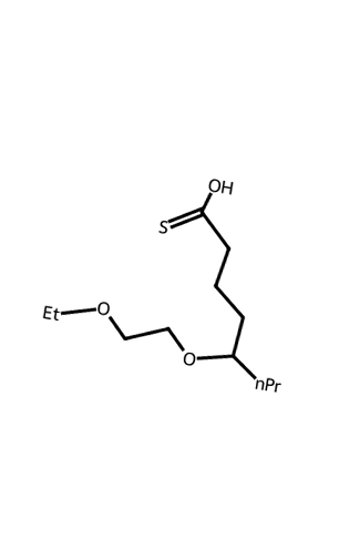 CCCC(CCCC(O)=S)OCCOCC